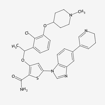 CC(Oc1cc(-n2cnc3cc(C4=CCCN=C4)ccc32)sc1C(N)=O)c1cccc(OC2CCN(C)CC2)c1Cl